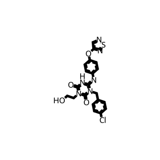 O=c1[nH]/c(=N\c2ccc(Oc3cnsn3)cc2)n(Cc2ccc(Cl)cc2)c(=O)n1CCO